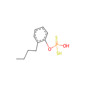 CCCCc1ccccc1OP(O)(=S)S